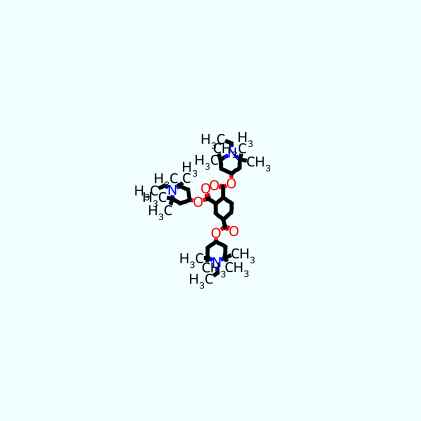 CCN1C(C)(C)CC(OC(=O)C2CCC(C(=O)OC3CC(C)(C)N(CC)C(C)(C)C3)C(C(=O)OC3CC(C)(C)N(CC)C(C)(C)C3)C2)CC1(C)C